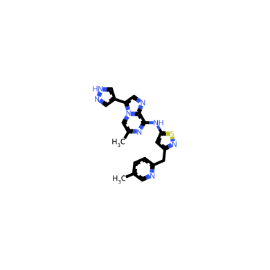 Cc1ccc(Cc2cc(Nc3nc(C)cn4c(-c5cn[nH]c5)cnc34)sn2)nc1